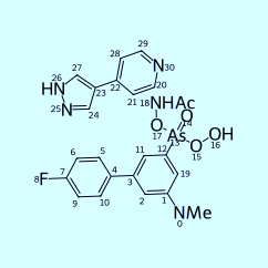 CNc1cc(-c2ccc(F)cc2)cc([As](=O)(OO)ONC(C)=O)c1.c1cc(-c2cn[nH]c2)ccn1